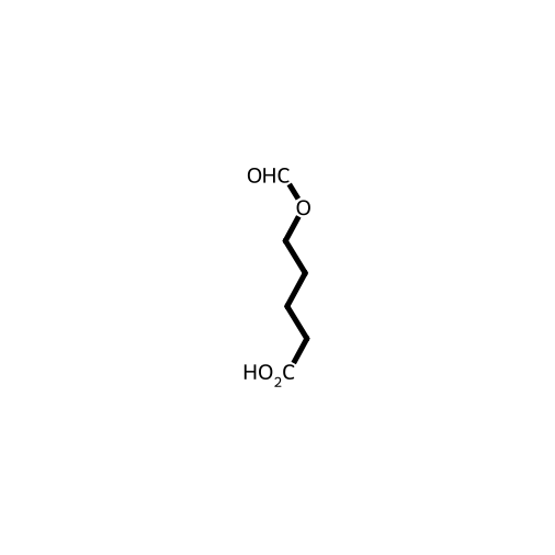 O=COCCCCC(=O)O